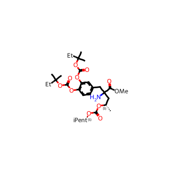 CCC[C@H](C)OC(=O)O[C@@H](C)CC(N)(Cc1ccc(OC(=O)OC(C)(C)CC)c(OC(=O)OC(C)(C)CC)c1)C(=O)OC